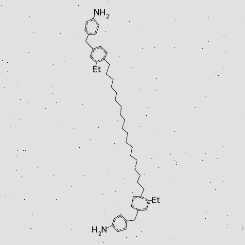 CCc1cc(Cc2ccc(N)cc2)ccc1CCCCCCCCCCCCCCCCCCCc1ccc(Cc2ccc(N)cc2)cc1CC